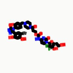 CC(C)c1cc(-c2nnc(O)n2-c2ccc(CN3CCN(C(=O)CCOC(=O)Nc4ccn([C@@H]5O[C@H](CCO)[C@@H](O)C5(F)F)c(=O)n4)CC3)cc2)c(O)cc1O